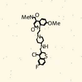 CNC(=O)c1cc(=O)n(CCN2CCC(NCC3=C(Cl)c4cc(F)ccc4SC3)CC2)c2cc(OC)ccc12